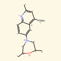 COc1cc(C)nc2ccc(N3CC(C)OC(C)C3)cc12